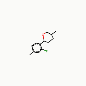 Cc1ccc(C2CCC(C)CO2)c(F)c1